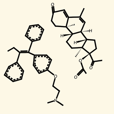 CC(=O)O[C@]1(C(C)=O)CC[C@H]2[C@@H]3C=C(C)C4=CC(=O)CC[C@]4(C)[C@H]3CC[C@@]21C.CC/C(=C(\c1ccccc1)c1ccc(OCCN(C)C)cc1)c1ccccc1